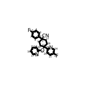 N#CC1(c2ccc(F)cc2)CCC(Oc2ccccn2)(c2ccc(F)cn2)CC1